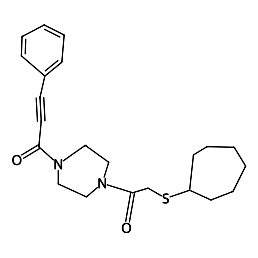 O=C(C#Cc1ccccc1)N1CCN(C(=O)CSC2CCCCCC2)CC1